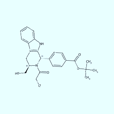 CC(C)(C)OC(=O)c1ccc([C@H]2c3[nH]c4ccccc4c3C[C@H](CO)N2C(=O)CCl)cc1